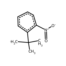 [CH2]C(C)(C)c1ccccc1[N+](=O)[O-]